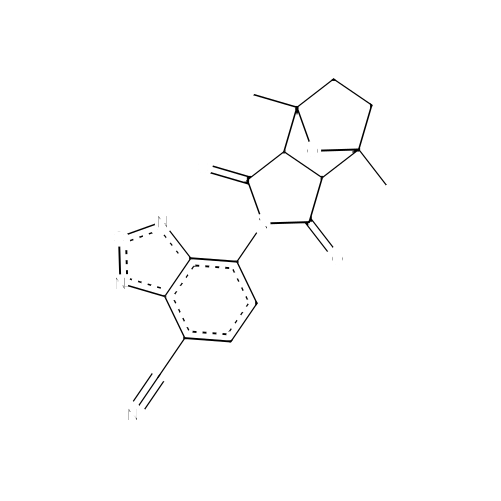 CC12CCC(C)(O1)C1C(=O)N(c3ccc(C#N)c4nonc34)C(=O)C12